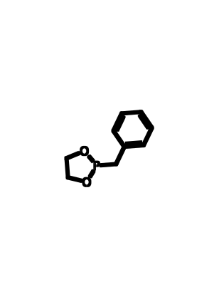 c1ccc(CP2OCCO2)cc1